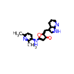 Cc1ccc(NC2=CC(=O)/C(=C\c3c[nH]c4ncccc34)O2)c(C)n1